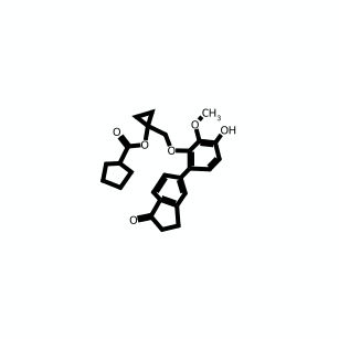 COc1c(O)ccc(-c2ccc3c(c2)CCC3=O)c1OCC1(OC(=O)C2CCCC2)CC1